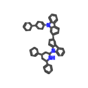 C1=CCCC(C2CC(c3ccccc3)NC(n3c4ccccc4c4cc(-c5ccc6c7ccccc7n(C7=CCC(C8CC=CCC8)CC7)c6c5)ccc43)C2)=C1